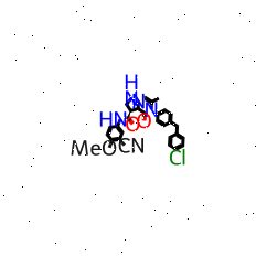 COc1ccc(NC(=O)[C@H]2CNN3C=C(C)N(c4ccc(Cc5ccc(Cl)cc5)cc4)C(=O)C23)cc1C#N